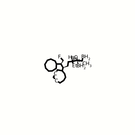 BC(C)[C@@](B)(C)C(B)(CC)CC[C@@H](C1CCCCCCCC1)[C@H](CF)C1CCCCCCCC1